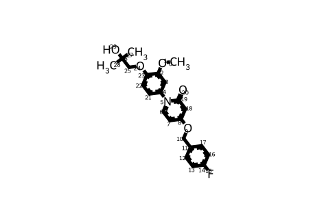 COc1cc(-n2ccc(OCc3ccc(F)cc3)cc2=O)ccc1OCC(C)(C)O